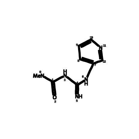 CNC(=O)NC(=N)Nc1cccnc1